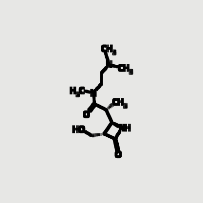 C[C@@H](C(=O)N(C)CCN(C)C)[C@H]1NC(=O)[C@@H]1CO